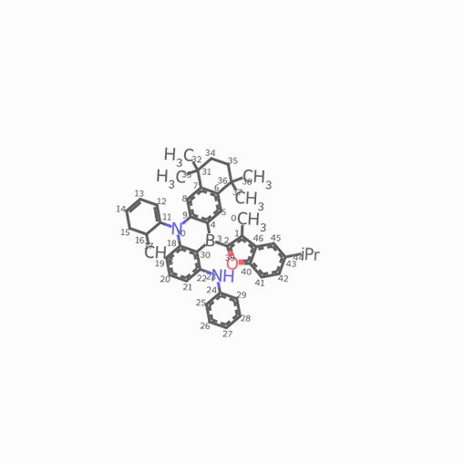 Cc1c(B2c3cc4c(cc3N(C3=CC=CCC3C)c3cccc(Nc5ccccc5)c32)C(C)(C)CCC4(C)C)oc2ccc(C(C)C)cc12